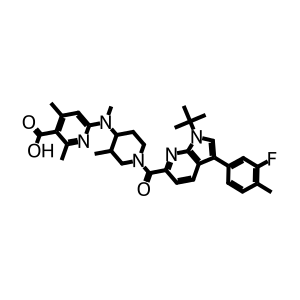 Cc1ccc(-c2cn(C(C)(C)C)c3nc(C(=O)N4CCC(N(C)c5cc(C)c(C(=O)O)c(C)n5)C(C)C4)ccc23)cc1F